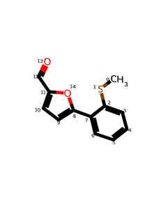 CSc1ccccc1-c1ccc(C=O)o1